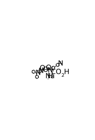 CN(C)c1ccc(-c2ccc(NC(=O)COCC(=O)N3CCN(C(c4ccccc4)c4ccccc4)CC3)c(C(=O)O)c2)cc1.[Na]